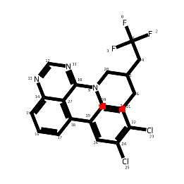 FC(F)(F)CC1CCCN(c2ncnc3cccc(-c4ccc(Cl)c(Cl)c4)c23)C1